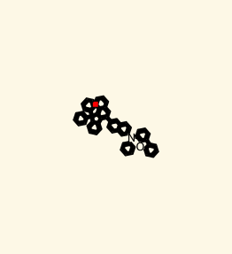 c1ccc(N(c2ccc3cc(-c4cc5ccccc5c5c4-c4ccccc4C5(c4ccccc4)c4ccccc4)ccc3c2)c2cccc3c2oc2ccccc23)cc1